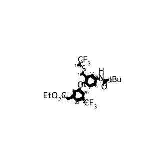 CCOC(=O)Cc1cc(Oc2ccc(NC(=O)C(C)(C)C)cc2CSCC(F)(F)F)cc(C(F)(F)F)c1